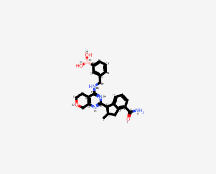 CC1Cc2c(C(N)=O)cccc2C1c1nc2c(c(NCc3cccc(B(O)O)c3)n1)CCOC2